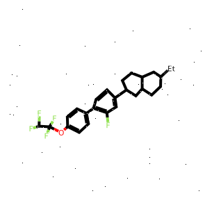 CCC1CCC2CC(c3ccc(-c4ccc(OC(F)(F)C(F)F)cc4)c(F)c3)CCC2C1